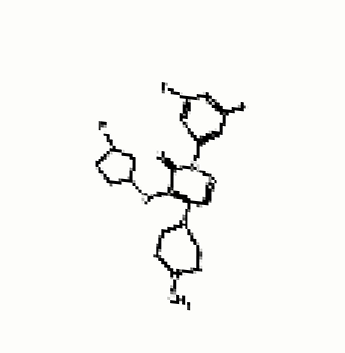 CN1CCN(c2cnn(-c3cc(F)cc(F)c3)c(=O)c2OC2CCC(F)C2)CC1